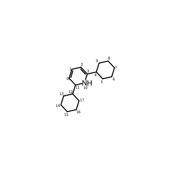 [C]1=CC=C(C2CCCCC2)NC1C1CCCCC1